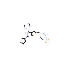 COc1cncc(-c2nc(N3CCOCC3)c3cc(CN4CCN(S(C)(=O)=O)CC4)sc3n2)c1